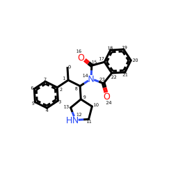 CC(c1ccccc1)C(C1CCNC1)N1C(=O)c2ccccc2C1=O